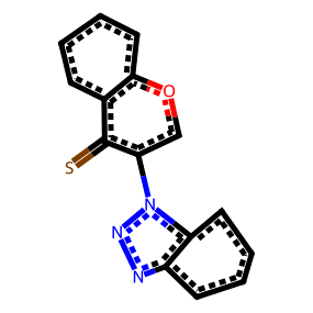 S=c1c(-n2nnc3ccccc32)coc2ccccc12